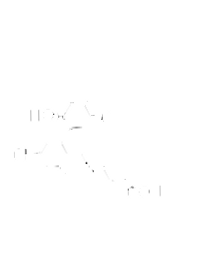 Cc1cc(Cl)cc(-c2cc(Cl)ccc2C=NC=CCC(=O)O)c1O